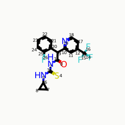 O=C(NC(=S)NC1CC1)C(c1cc(C(F)(F)F)ccn1)c1ccccc1F